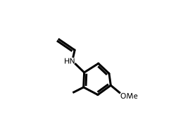 C=CNc1ccc(OC)cc1C